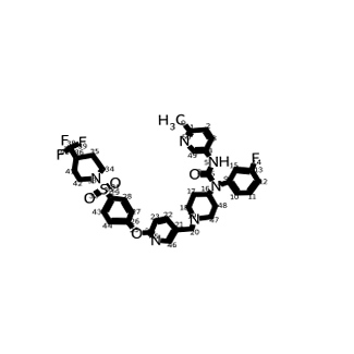 Cc1ccc(NC(=O)N(c2cccc(F)c2)C2CCN(Cc3ccc(Oc4ccc(S(=O)(=O)N5CCC(C(F)(F)F)CC5)cc4)nc3)CC2)cn1